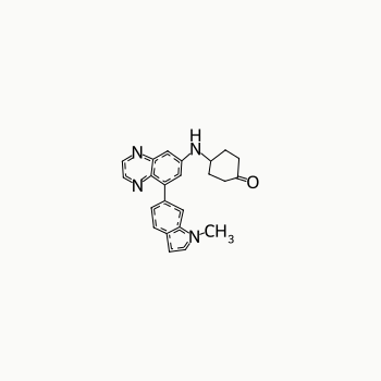 Cn1ccc2ccc(-c3cc(NC4CCC(=O)CC4)cc4nccnc34)cc21